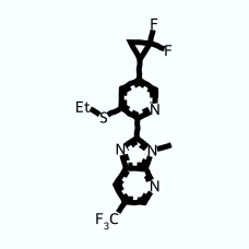 CCSc1cc(C2CC2(F)F)cnc1-c1nc2cc(C(F)(F)F)cnc2n1C